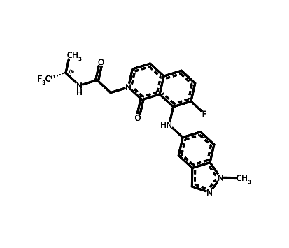 C[C@H](NC(=O)Cn1ccc2ccc(F)c(Nc3ccc4c(cnn4C)c3)c2c1=O)C(F)(F)F